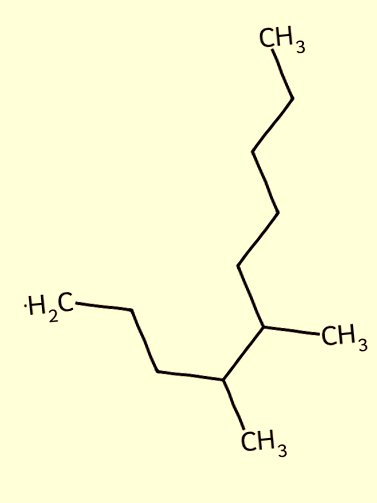 [CH2]CCC(C)C(C)CCCCC